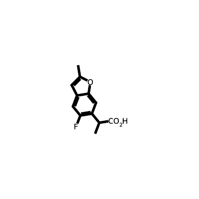 Cc1cc2cc(F)c(C(C)C(=O)O)cc2o1